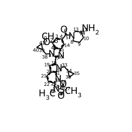 COc1cc(C(=O)N2CCC[C@@H](N)C2)cc2nc(-c3cc4ccc(N(C)S(C)(=O)=O)nc4n3CC3CC3)n(CC3CC3)c12